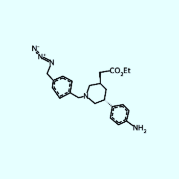 CCOC(=O)C[C@H]1C[C@H](c2ccc(N)cc2)CN(Cc2ccc(CN=[N+]=[N-])cc2)C1